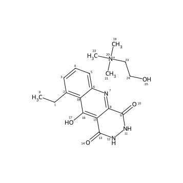 CCc1cccc2nc3c(=O)[nH][nH]c(=O)c3c(O)c12.C[N+](C)(C)CCO